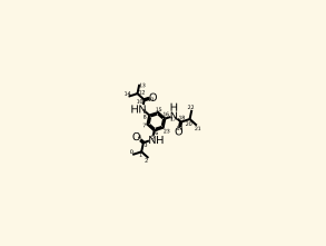 CC(C)C(=O)Nc1cc(NC(=O)C(C)C)cc(NC(=O)C(C)C)c1